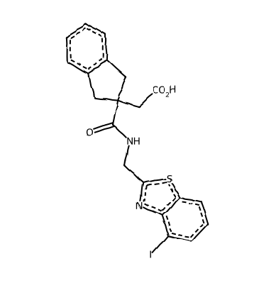 O=C(O)CC1(C(=O)NCc2nc3c(I)cccc3s2)Cc2ccccc2C1